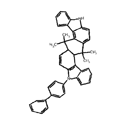 CC1(C)c2c(ccc3[nH]c4ccccc4c23)C(C)(C)C2c3c(n(-c4ccc(-c5ccccc5)cc4)c4ccccc34)C=CC21